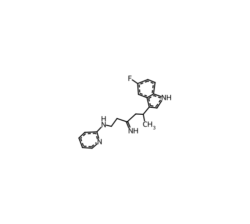 CC(CC(=N)CCNc1ccccn1)c1c[nH]c2ccc(F)cc12